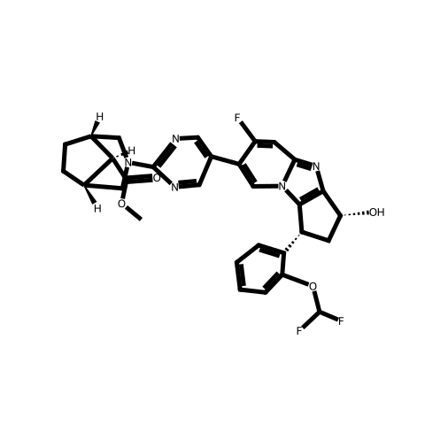 COC(=O)[C@@H]1[C@@H]2CC[C@H]1CN(c1ncc(-c3cn4c5c(nc4cc3F)[C@H](O)C[C@@H]5c3ccccc3OC(F)F)cn1)C2